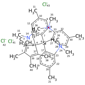 CC1=C(C)[C]([Ti+3])([Si](c2ccc(C)cc2N(C)C)(c2ccc(C)cc2N(C)C)c2ccc(C)cc2N(C)C)C(C)=C1C.[Cl-].[Cl-].[Cl-]